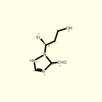 CC[C@@H](CCO)N1NC=NC1C=O